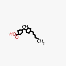 CCCCCCC1CCC(C(C)C2CCC(C(=O)O)CC2)CC1